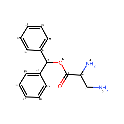 NCC(N)C(=O)OC(c1ccccc1)c1ccccc1